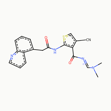 CN(C)/C=N/C(=O)c1c(C#N)csc1NC(=O)Cc1cccc2ncccc12